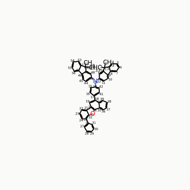 CC1(C)c2ccccc2-c2ccc(N(c3ccc(-c4cc5c6cccc(-c7ccccc7)c6oc5c5ccccc45)cc3)c3ccc4c(c3)C(C)(C)c3ccccc3-4)cc21